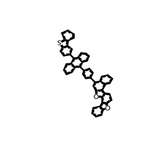 c1ccc2c(c1)oc1ccc3c(oc4cc(-c5ccc(-c6c7ccccc7c(-c7ccc8sc9ccccc9c8c7)c7ccccc67)cc5)c5ccccc5c43)c12